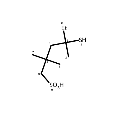 CCC(C)(S)CC(C)(C)CS(=O)(=O)O